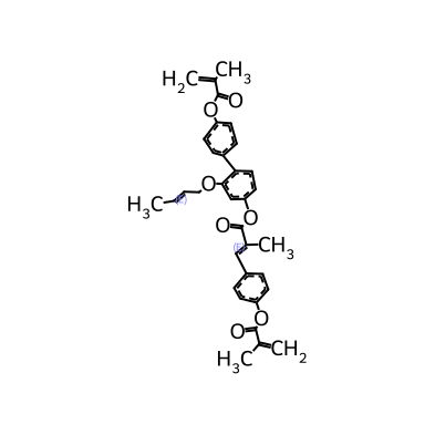 C=C(C)C(=O)Oc1ccc(/C=C(\C)C(=O)Oc2ccc(-c3ccc(OC(=O)C(=C)C)cc3)c(OC/C=C/C)c2)cc1